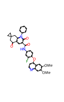 COc1cc2nccc(Oc3ccc(NC(=O)c4cc5c(n(-c6ccccc6)c4=O)CC4(CC4)CC5=O)cc3F)c2cc1OC